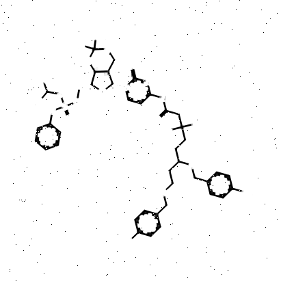 CC(NP(=O)(OC[C@H]1O[C@@H](n2ccc(NC(=O)CC(C)(C)CCC(CCSCc3ccc(C(F)(F)F)cc3)SCc3ccc(C(F)(F)F)cc3)nc2=O)[C@]2(C)COC(C)(C)O[C@H]12)Oc1ccccc1)C(=O)O